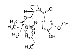 C=CCOC(=O)N1c2cc(O)c(OC)cc2C(=O)N2CC[C@H]2C1O[Si](C)(C)C(C)(C)C